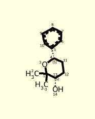 CC1(C)O[C@H](c2ccccc2)CC[C@@H]1O